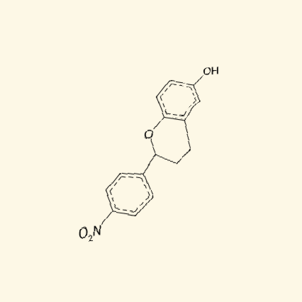 O=[N+]([O-])c1ccc(C2CCc3cc(O)ccc3O2)cc1